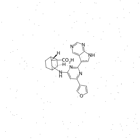 O=C(O)[C@H]1C2CCC(CC2)[C@@H]1Nc1cc(-c2ccoc2)nc(-c2c[nH]c3ncncc23)n1